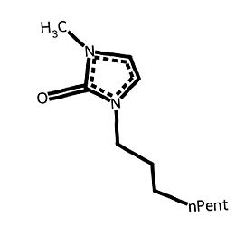 CCCCCCCCn1ccn(C)c1=O